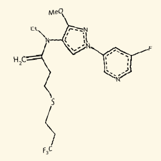 C=C(CCSCCC(F)(F)F)N(CC)c1cn(-c2cncc(F)c2)nc1OC